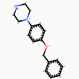 [CH]1CN(c2ccc(OCc3ccccc3)cc2)CCN1